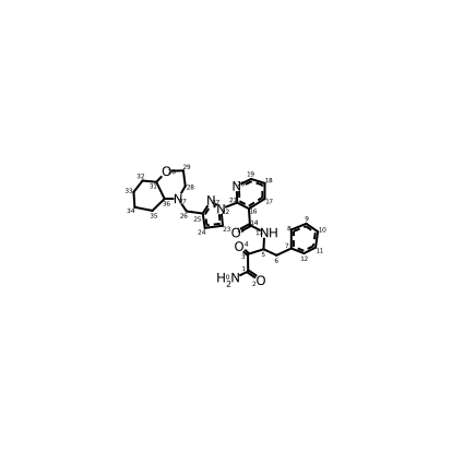 NC(=O)C(=O)C(Cc1ccccc1)NC(=O)c1cccnc1-n1ccc(CN2CCOC3CCCCC32)n1